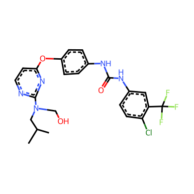 CC(C)CN(CO)c1nccc(Oc2ccc(NC(=O)Nc3ccc(Cl)c(C(F)(F)F)c3)cc2)n1